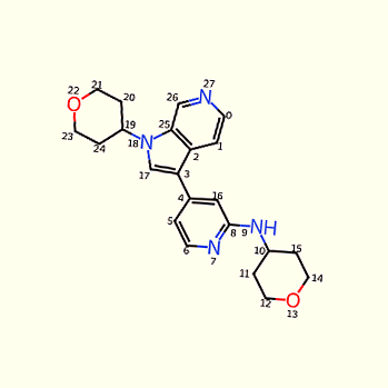 c1cc2c(-c3ccnc(NC4CCOCC4)c3)cn(C3CCOCC3)c2cn1